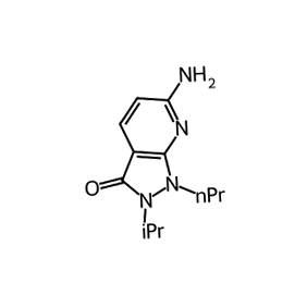 CCCn1c2nc(N)ccc2c(=O)n1C(C)C